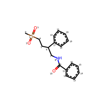 CS(=O)(=O)CCC(CNC(=O)c1ccccc1)c1ccccc1